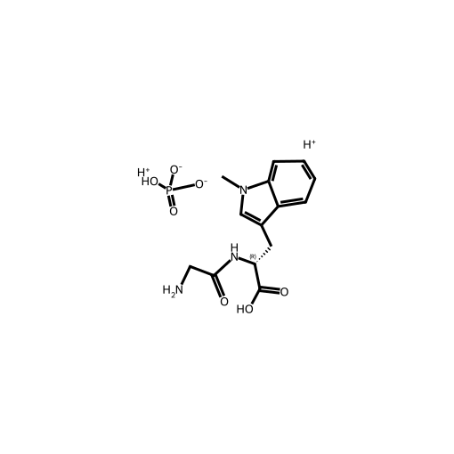 Cn1cc(C[C@@H](NC(=O)CN)C(=O)O)c2ccccc21.O=P([O-])([O-])O.[H+].[H+]